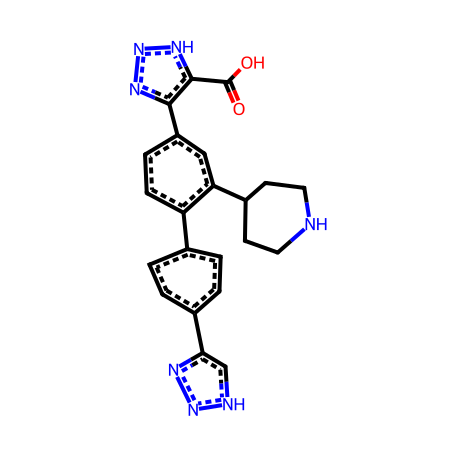 O=C(O)c1[nH]nnc1-c1ccc(-c2ccc(-c3c[nH]nn3)cc2)c(C2CCNCC2)c1